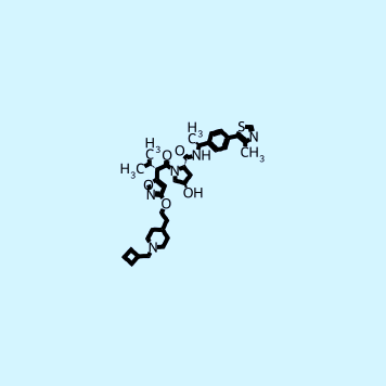 Cc1ncsc1-c1ccc([C@H](C)NC(=O)[C@@H]2C[C@@H](O)CN2C(=O)[C@H](c2cc(OCCC3CCN(CC4CCC4)CC3)no2)C(C)C)cc1